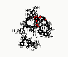 CN[C@H](CC(C)C)C(=O)N[C@H]1C(=O)N[C@@H](CC(N)=O)C(=O)N[C@H]2C(=O)N[C@H]3C(=O)N[C@H](C(=O)N[C@@H](C(=O)O)c4cc(O)cc(O)c4-c4cc3ccc4O)[C@H](O)c3ccc(c(Cl)c3)Oc3cc2cc(c3O[C@@H]2O[C@H](CO)[C@@H](O)[C@H](O)[C@H]2O[C@H]2C[C@](C)(N)C(O)[C@H](C)O2)Oc2ccc(cc2Cl)[C@H]1O.Cc1onc(-c2ccccc2)c1C(=O)N[C@@H]1C(=O)N2[C@@H]1SC(C)(C)[C@@H]2C(=O)O